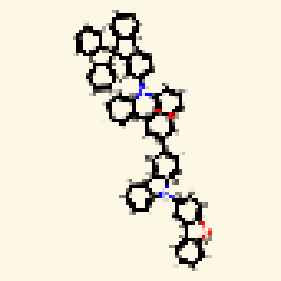 c1ccc(N(c2ccc3c(c2)C(c2ccccc2)(c2ccccc2)c2ccccc2-3)c2ccccc2-c2cccc(-c3ccc4c(c3)c3ccccc3n4-c3ccc4oc5ccccc5c4c3)c2)cc1